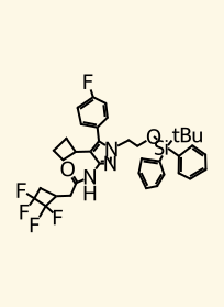 CC(C)(C)[Si](OCCn1nc(NC(=O)CC2CC(F)(F)C2(F)F)c(C2CCC2)c1-c1ccc(F)cc1)(c1ccccc1)c1ccccc1